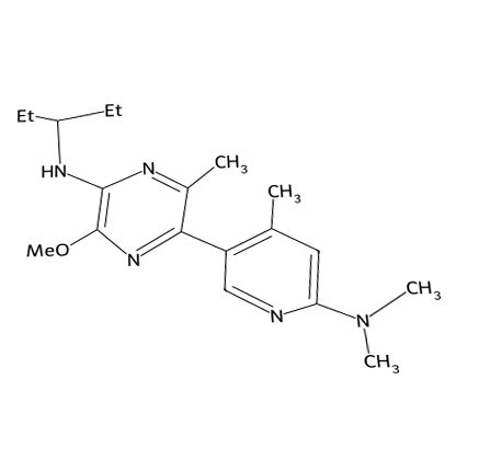 CCC(CC)Nc1nc(C)c(-c2cnc(N(C)C)cc2C)nc1OC